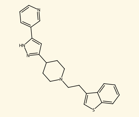 c1cncc(-c2cc(C3CCN(CCc4csc5ccccc45)CC3)n[nH]2)c1